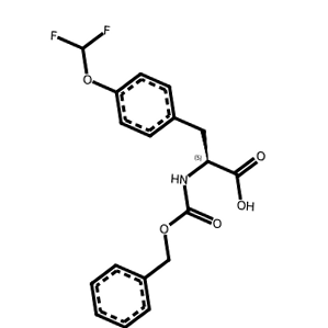 O=C(N[C@@H](Cc1ccc(OC(F)F)cc1)C(=O)O)OCc1ccccc1